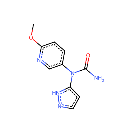 COc1ccc(N(C(N)=O)c2ccn[nH]2)cn1